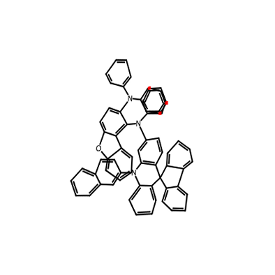 c1ccc(N(c2ccccc2)c2ccc3oc4ccccc4c3c2N(c2ccccc2)c2ccc3c(c2)N(c2ccc4ccccc4c2)c2ccccc2C32c3ccccc3-c3ccccc32)cc1